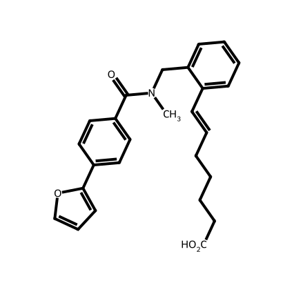 CN(Cc1ccccc1C=CCCCCC(=O)O)C(=O)c1ccc(-c2ccco2)cc1